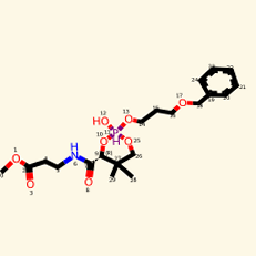 COC(=O)CCNC(=O)[C@@H]1O[PH](O)(OCCCOCc2ccccc2)OCC1(C)C